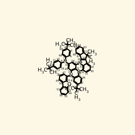 CC(C)(C)c1ccc(N(c2ccc(C(C)(C)C)cc2)c2cc3c4c(c2)-n2c5c(c6cccc(c62)B4c2ccc(C(C)(C)C)cc2N3c2cccc3c2oc2ccccc23)C(C)(C)c2ccccc2-5)cc1